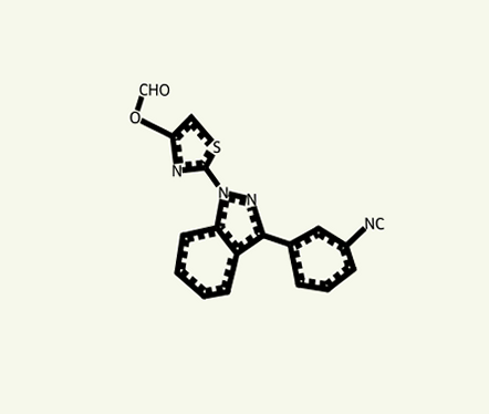 [C-]#[N+]c1cccc(-c2nn(-c3nc(OC=O)cs3)c3ccccc23)c1